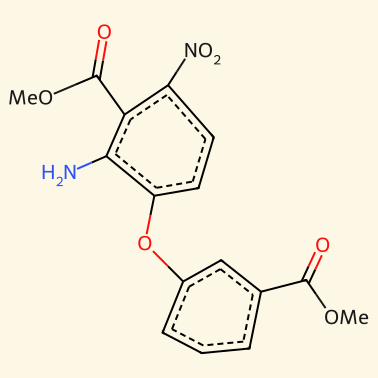 COC(=O)c1cccc(Oc2ccc([N+](=O)[O-])c(C(=O)OC)c2N)c1